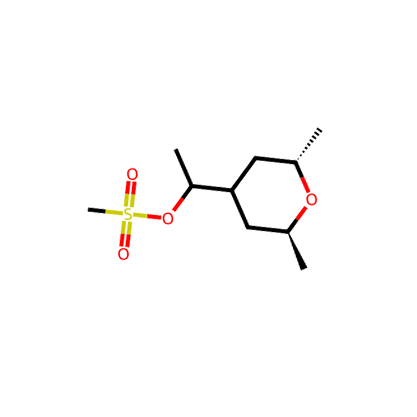 CC(OS(C)(=O)=O)C1C[C@H](C)O[C@@H](C)C1